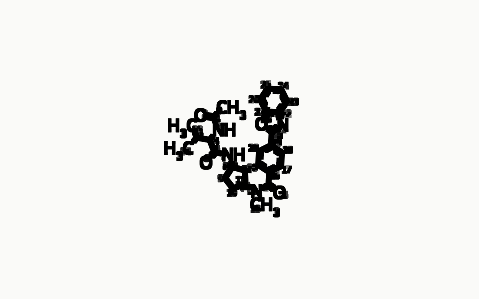 CC(=O)NC(C(=O)N[C@H]1CC[C@@H](N(C)C(=O)c2ccc(-c3nc4ccccc4o3)cc2)C1)C(C)C